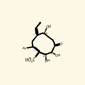 C/C=C1/C/C(C(C)=O)=C(/C(=O)O)[C@H](CCC)[C@H](O)C(=O)C[C@@H]1O